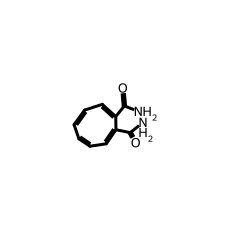 NC(=O)C1=C/C=C\C=C/C=C\1C(N)=O